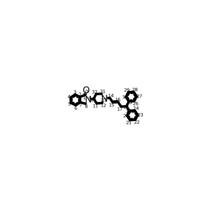 O=C1c2ccccc2CN1C1CCN(CC=CCC(c2ccccc2)c2ccccc2)CC1